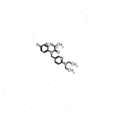 CCN(CC)c1ccc(CN(C(=O)[C@H](C)N)c2ccc(F)cc2)cn1